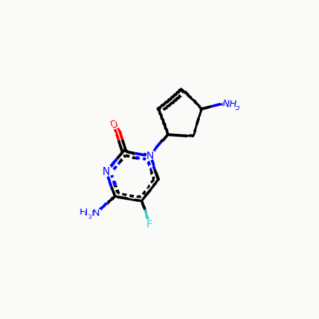 Nc1nc(=O)n(C2C=CC(N)C2)cc1F